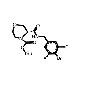 CC(C)(C)OC(=O)N1CCOC[C@@H]1C(=O)NCc1cc(F)c(Br)c(F)c1